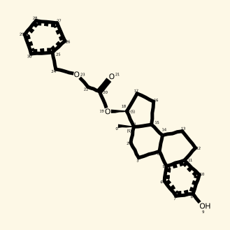 C[C@]12CCC3c4ccc(O)cc4CCC3C1CC[C@@H]2OC(=O)COCc1ccccc1